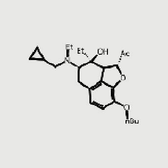 CCCCOc1ccc2c3c1O[C@@H](C(C)=O)C3[C@@](O)(CC)[C@H](N(CC)CC1CC1)C2